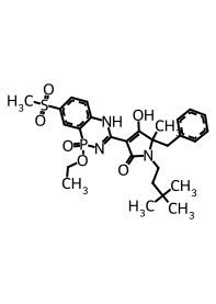 CCOP1(=O)N=C(C2=C(O)C(C)(Cc3ccccc3)N(CCC(C)(C)C)C2=O)Nc2ccc(S(C)(=O)=O)cc21